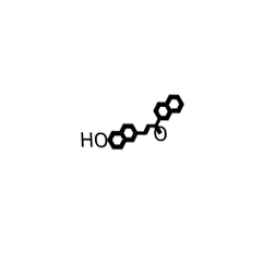 O=C(/C=C/c1ccc2cc(O)ccc2c1)c1ccc2ccccc2c1